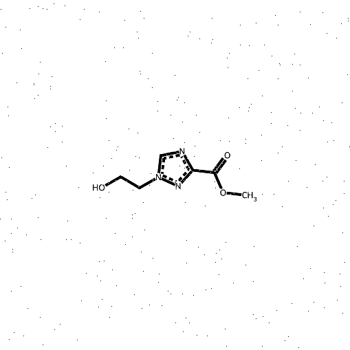 COC(=O)c1ncn(CCO)n1